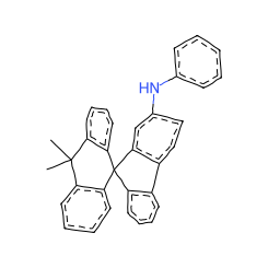 CC1(C)c2ccccc2C2(c3ccccc3-c3ccc(Nc4ccccc4)cc32)c2ccccc21